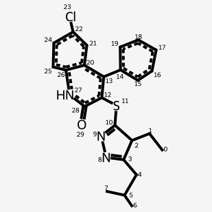 CCC1C(CC(C)C)=NN=C1Sc1c(-c2ccccc2)c2cc(Cl)ccc2[nH]c1=O